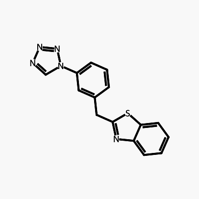 c1cc(Cc2nc3ccccc3s2)cc(-n2cnnn2)c1